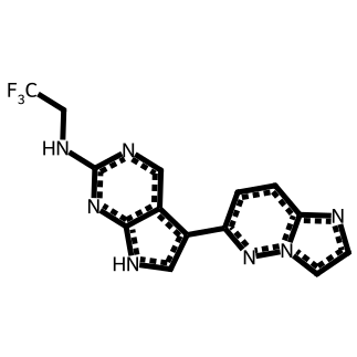 FC(F)(F)CNc1ncc2c(-c3ccc4nccn4n3)c[nH]c2n1